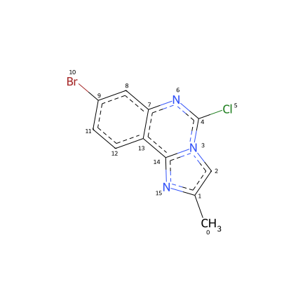 Cc1cn2c(Cl)nc3cc(Br)ccc3c2n1